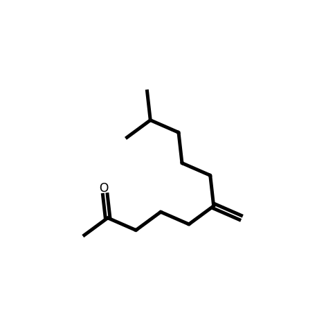 C=C(CCCC(C)=O)CCCC(C)C